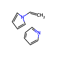 C=Cn1cccc1.c1ccncc1